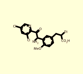 CCC(Cc1ccc(OC)c(C(N)C(=O)c2ncc(Cl)cc2Cl)c1)C(=O)O